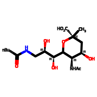 CCCCC(=O)NC[C@@H](O)[C@@H](O)C1O[C@](C)(C(=O)O)C[C@@H](O)[C@H]1NC(C)=O